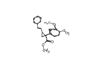 COC(=O)C1(c2ccc(OC)c(OC)c2)CC1/C=C/c1ccccc1